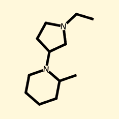 CCN1CCC(N2CCCCC2C)C1